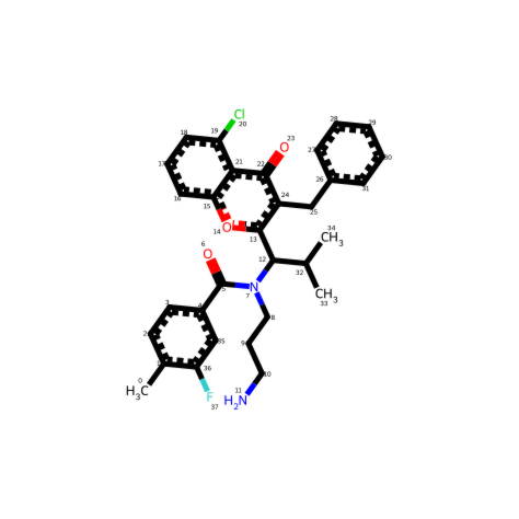 Cc1ccc(C(=O)N(CCCN)C(c2oc3cccc(Cl)c3c(=O)c2Cc2ccccc2)C(C)C)cc1F